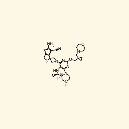 N#Cc1c(N)sc2c1C1(CN(c3nc(OCC4(CN5CCOCC5)CC4)nc4c3NC(=O)[C@@H]3CNCCN43)C1)SC2